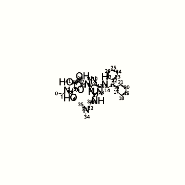 CCNC(=O)[C@H]1O[C@@H](n2cnc3c(NCC(c4ccccc4)c4ccccc4)nc(NCCN(C)C)nc32)[C@H](O)[C@@H]1O